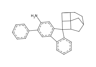 Nc1cc2c(cc1-c1ccccc1)-c1ccccc1C21C2CC3CCC4CC2(C3)C41